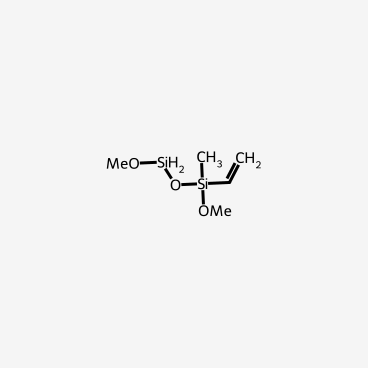 C=C[Si](C)(OC)O[SiH2]OC